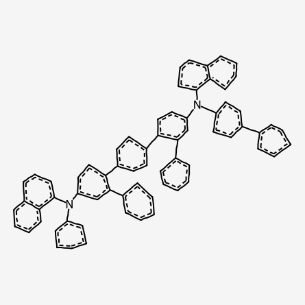 c1ccc(-c2ccc(N(c3ccc(-c4ccc(-c5ccc(N(c6ccccc6)c6cccc7ccccc67)cc5-c5ccccc5)cc4)c(-c4ccccc4)c3)c3cccc4ccccc34)cc2)cc1